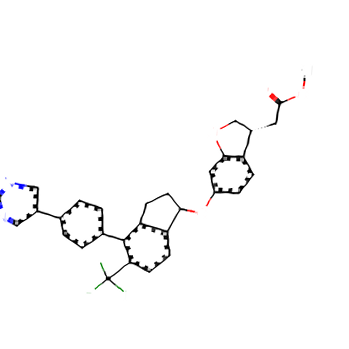 COC(=O)C[C@@H]1COc2cc(OC3CCc4c3ccc(C(F)(F)F)c4-c3ccc(-c4cncnc4)cc3)ccc21